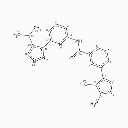 Cc1ncn(-c2cccc(C(=O)Nc3cccc(-c4nncn4C(C)C(F)(F)F)n3)c2)c1C